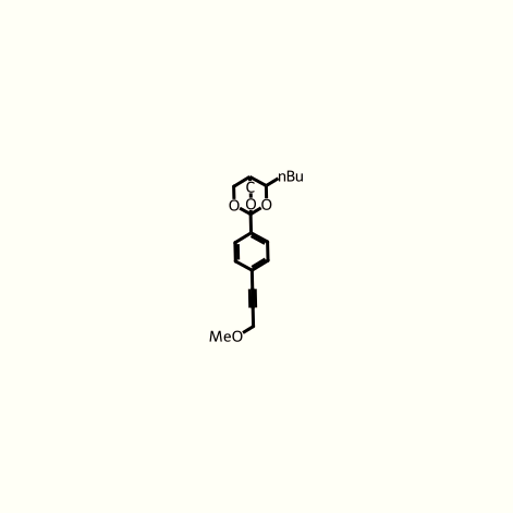 CCCCC1OC2(c3ccc(C#CCOC)cc3)OCC1CO2